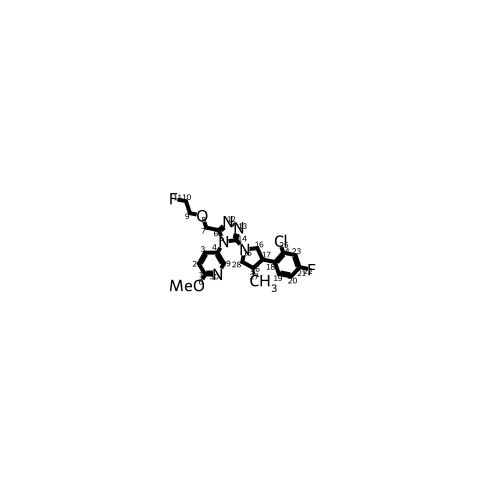 COc1ccc(-n2c(COCCF)nnc2N2CC(c3ccc(F)cc3Cl)[C@@H](C)C2)cn1